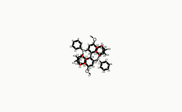 COc1cc(P(c2ccccc2)c2ccccc2)c(-c2c(P(c3ccccc3)c3ccccc3)cc(OC)c3c2OC(C)(C)O3)c2c1OC(C)(C)O2